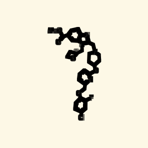 COC(=O)c1ccc2nc(CN3CCC(Oc4cccc(COc5ccc(Cl)cc5F)n4)CC3)n(C[C@@H]3CCO3)c2c1